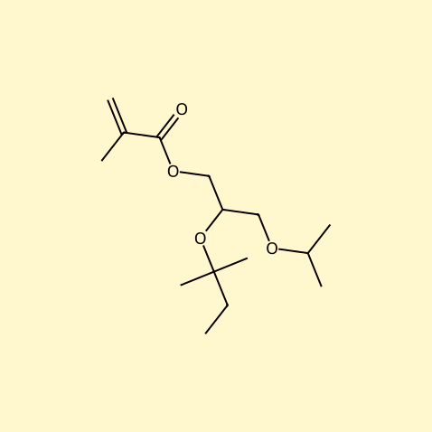 C=C(C)C(=O)OCC(COC(C)C)OC(C)(C)CC